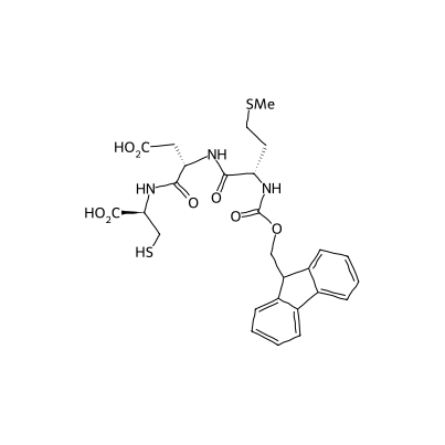 CSCC[C@H](NC(=O)OCC1c2ccccc2-c2ccccc21)C(=O)N[C@@H](CC(=O)O)C(=O)N[C@@H](CS)C(=O)O